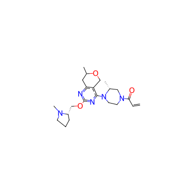 C=CC(=O)N1CCN(c2nc(OC[C@@H]3CCCN3C)nc3c2COC(C)C3)[C@H](C)C1